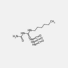 CCCCCCNC(=O)NC(N)=O.N=C=O.N=C=O.N=C=O